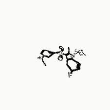 CCSn1c(C)c(S(=O)(=O)c2cccc(N(C)C)c2)c2cc(F)ccc21